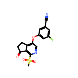 CS(=O)(=O)c1ncc(Oc2cc(F)cc(C#N)c2)c2c1C(=O)CC2